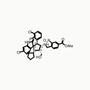 COC(=O)c1ccc(CN[C@@H]2[C@H](CO)N(C3CCCC3)[C@@]3(C(=O)Nc4cc(Cl)ccc43)[C@H]2c2cccc(Cl)c2F)c([N+](=O)[O-])c1